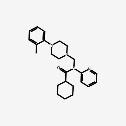 Cc1ccccc1N1CCN(CN(C(=O)C2CCCCC2)c2ccccn2)CC1